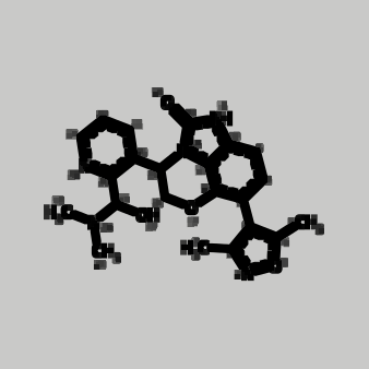 Cc1noc(C)c1-c1ccc2[nH]c(=O)n3c2c1OCC3c1cccnc1C(O)N(C)C